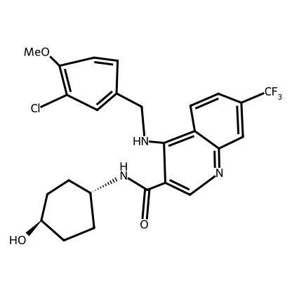 COc1ccc(CNc2c(C(=O)N[C@H]3CC[C@H](O)CC3)cnc3cc(C(F)(F)F)ccc23)cc1Cl